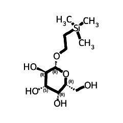 C[Si](C)(C)CCO[C@@H]1O[C@H](CO)[C@H](O)[C@H](O)[C@H]1O